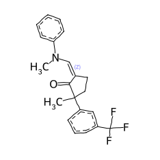 CN(/C=C1/CCC(C)(c2cccc(C(F)(F)F)c2)C1=O)c1ccccc1